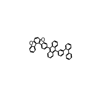 c1ccc(-c2ccccc2-c2cccc(-c3c4ccccc4c(-c4ccc5c(c4)oc4ccc6oc7ccccc7c6c45)c4ccccc34)c2)cc1